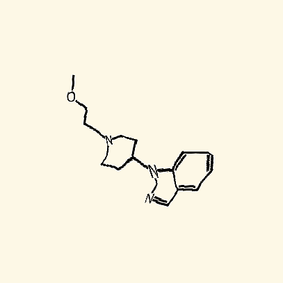 COCCN1CCC(n2ncc3ccccc32)CC1